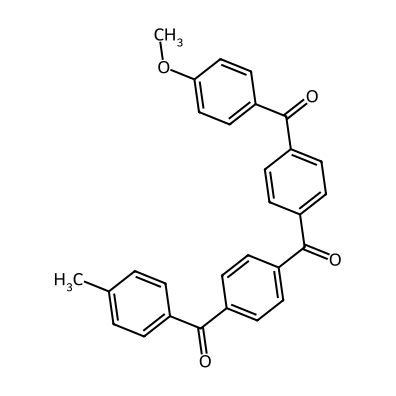 COc1ccc(C(=O)c2ccc(C(=O)c3ccc(C(=O)c4ccc(C)cc4)cc3)cc2)cc1